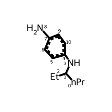 CCCC(CC)Nc1ccc(N)cc1